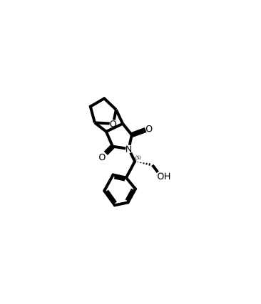 O=C1C2C3CCC(O3)C2C(=O)N1[C@H](CO)c1ccccc1